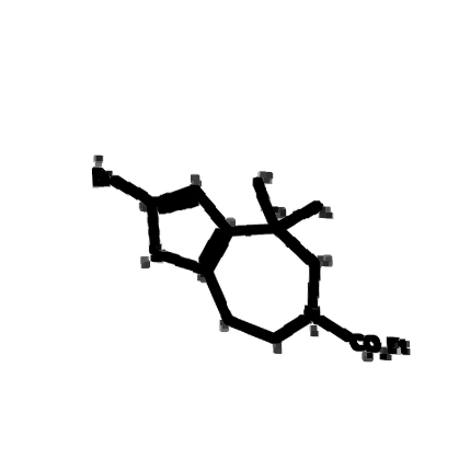 CCOC(=O)N1CCc2sc(Br)cc2C(C)(C)C1